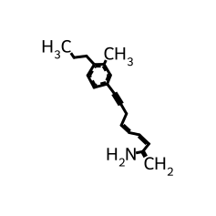 C=C(N)/C=C\C=C/CC#Cc1ccc(CCC)c(C)c1